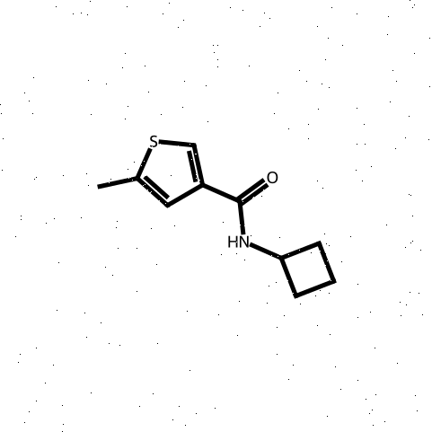 Cc1cc(C(=O)NC2CCC2)cs1